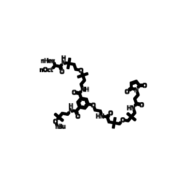 CCCCCCCCC(CCCCCC)C(=O)NC(C)(C)CCOC(C)(C)CCNC(=O)c1cc(OCCNC(=O)CC(C)(C)COCC(C)(C)CNC(=O)CCN2C(=O)C=CC2=O)cc(C(=O)NCCC(C)(C)OCCCC)c1